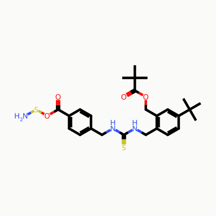 CC(C)(C)C(=O)OCc1cc(C(C)(C)C)ccc1CNC(=S)NCc1ccc(C(=O)OSN)cc1